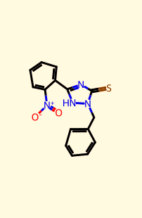 O=[N+]([O-])c1ccccc1-c1nc(=S)n(Cc2ccccc2)[nH]1